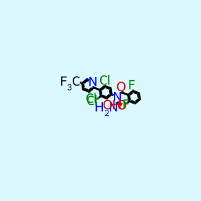 NC(=O)N(C(=O)c1c(F)cccc1F)c1cc(Cl)c(-c2ncc(C(F)(F)F)cc2Cl)c(Cl)c1O